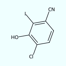 N#Cc1ccc(Cl)c(O)c1I